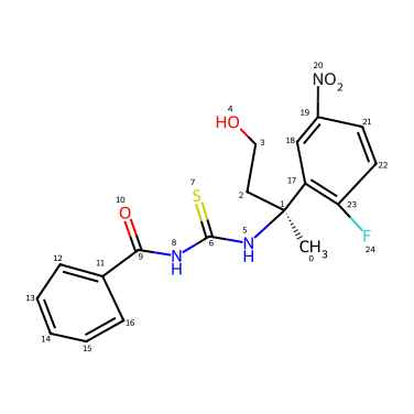 C[C@@](CCO)(NC(=S)NC(=O)c1ccccc1)c1cc([N+](=O)[O-])ccc1F